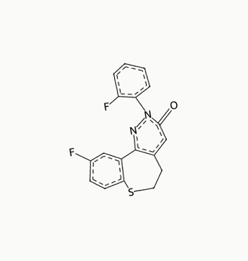 O=c1cc2c(nn1-c1ccccc1F)-c1cc(F)ccc1SCC2